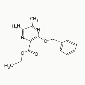 CCOC(=O)c1nc(N)c(C)nc1OCc1ccccc1